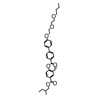 CCCCOCCOCCOc1ccc(-c2ccc(C(=O)Oc3ccc(C(=O)OCC(C)CC)cc3F)cc2)cc1